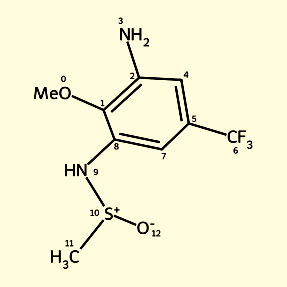 COc1c(N)cc(C(F)(F)F)cc1N[S+](C)[O-]